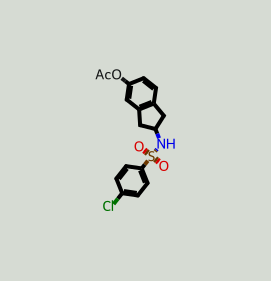 CC(=O)Oc1ccc2c(c1)CC(NS(=O)(=O)c1ccc(Cl)cc1)C2